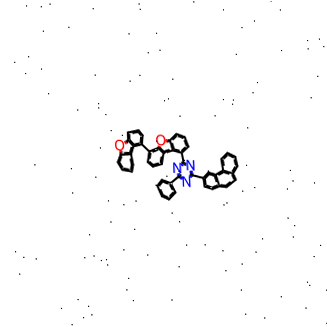 c1ccc(-c2nc(-c3ccc4ccc5ccccc5c4c3)nc(-c3cccc4oc5c(-c6cccc7oc8ccccc8c67)cccc5c34)n2)cc1